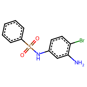 Nc1cc(NS(=O)(=O)c2ccccc2)ccc1Br